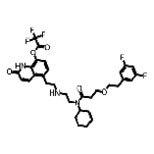 O=C(CCOCCc1cc(F)cc(F)c1)N(CCNCCc1ccc(OC(=O)C(F)(F)F)c2[nH]c(=O)ccc12)C1CCCCC1